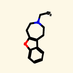 FC(F)(F)CN1CCc2oc3ccccc3c2CC1